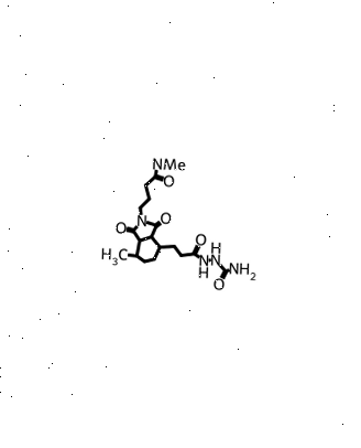 CNC(=O)CCCN1C(=O)C2C(C)CCC(CCC(=O)NNC(N)=O)C2C1=O